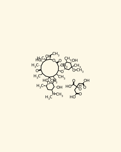 CC[C@H]1OC(=O)[C@H](C)[C@@H](O[C@H]2C[C@@](C)(OC)[C@@H](O)[C@H](C)O2)[C@@H](C)[C@@H](O[C@@H]2O[C@H](C)C[C@H](N(C)C)[C@H]2O)[C@](C)(O)C[C@@H](C)C(=O)[C@H](C)[C@H](O)[C@]1(C)O.O=C(O)CC(O)(CC(=O)O)C(=O)O